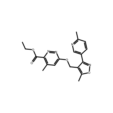 CCOC(=O)c1nnc(OCc2c(-c3ccc(C)nc3)noc2C)cc1C